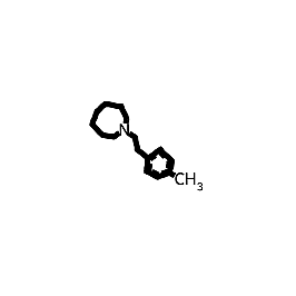 Cc1ccc(CCN2CCCCCCC2)cc1